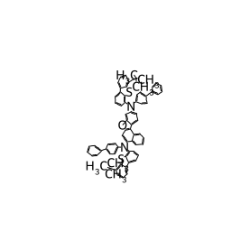 CC(C)(C)c1cccc2c1sc1c(N(c3ccc(-c4ccccc4)cc3)c3ccc4c(c3)oc3cc(N(c5ccc(-c6ccccc6)cc5)c5cccc6c5sc5c(C(C)(C)C)cccc56)c5ccccc5c34)cccc12